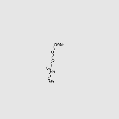 CCCOCCNC(=O)CCOCCOCCNC